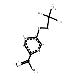 C=C(N)c1cnc(OCC(F)(F)C(F)(F)F)cn1